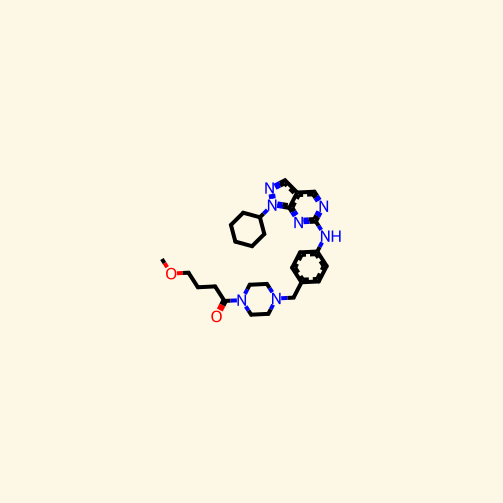 COCCCC(=O)N1CCN(Cc2ccc(Nc3ncc4cnn(C5CCCCC5)c4n3)cc2)CC1